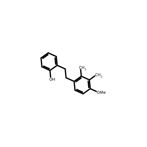 COc1ccc(CCc2ccccc2O)c(C)c1C